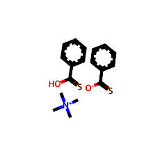 C[N+](C)(C)C.OC(=S)c1ccccc1.[O-]C(=S)c1ccccc1